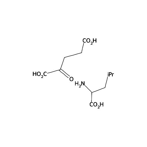 CC(C)CC(N)C(=O)O.O=C(O)CCC(=O)C(=O)O